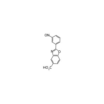 O=Nc1cccc(-c2nc3cc(C(=O)O)ccc3o2)c1